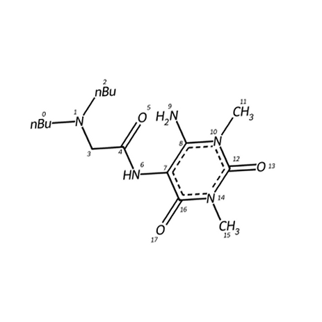 CCCCN(CCCC)CC(=O)Nc1c(N)n(C)c(=O)n(C)c1=O